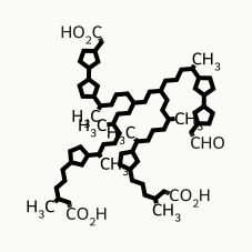 CC(CCCC(C)C1CCC(CCCC(C)CC(=O)O)C1)CCC(CCCC(C)C1CCC(C2CCC(CC=O)C2)C1)CCC(CCCC(C)C1CCC(C2CCC(CC(=O)O)C2)C1)CCC(C)CCCC(C)C1CCC(CCCC(C)CC(=O)O)C1